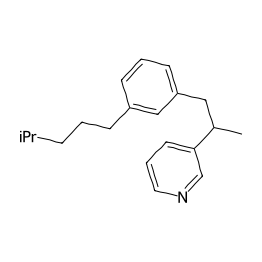 CC(C)CCCc1cccc(CC(C)c2cccnc2)c1